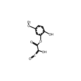 CCOc1ccc(O)c(OC(=O)C(O)=C=O)c1